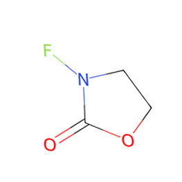 O=C1OCCN1F